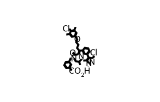 Cc1cc(OCCCc2c3n(c4c(-c5c(C)nn(C)c5C)c(Cl)ccc24)CC(C)CN(Cc2cccc(C(=O)O)c2)C3=O)cc(C)c1Cl